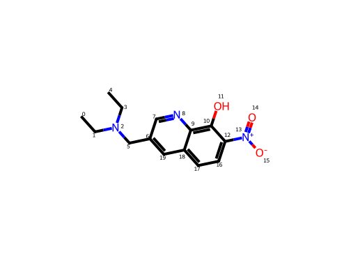 CCN(CC)Cc1cnc2c(O)c([N+](=O)[O-])ccc2c1